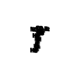 CCOC(=O)C(C#N)=c1sc(=CNc2ccc(CCN3CCC(CO)CC3)cc2)c(=O)n1CC